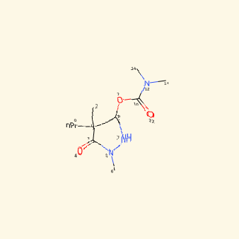 CCCC1(C)C(=O)N(C)NC1OC(=O)N(C)C